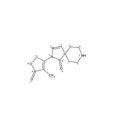 CC1=C(N2N=CC3(CCNCC3)C2=O)COC1=O